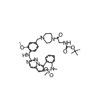 COc1cc(CN2CCN(C(=O)CNC(=O)OC(C)(C)C)CC2)ccc1Nc1ncc2ccc(-c3ccccc3N(C)S(C)(=O)=O)n2n1